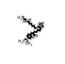 CCN(CC)c1ccc2cc(/C=C/c3ccc(S(=O)(=O)[O-])c[n+]3CCCCCC(=O)NCCN)c(=O)oc2c1